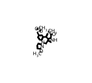 COc1cccc(N2Cc3c[nH]c4c(=O)n(C)cc(c34)-c3cc(CS(C)(=O)=O)ccc32)n1